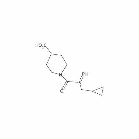 O=C(O)C1CCN(C(=O)S(=P)CC2CC2)CC1